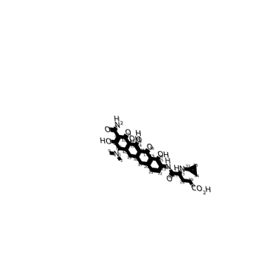 CN(C)[C@@H]1C(O)=C(C(N)=O)C(=O)[C@@]2(O)C(O)=C3C(=O)c4c(ccc(NC(=O)C(CCC(=O)O)NC5CC5)c4O)CC3CC12